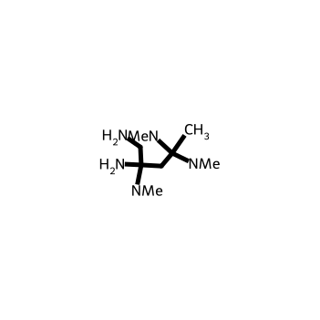 CNC(N)(CN)CC(C)(NC)NC